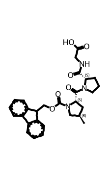 C[C@@H]1C[C@@H](C(=O)N2CCC[C@H]2C(=O)NCC(=O)O)N(C(=O)OCC2c3ccccc3-c3ccccc32)C1